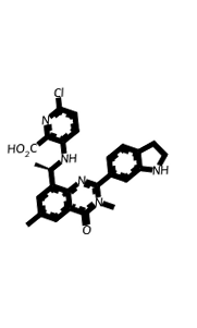 Cc1cc([C@@H](C)Nc2ccc(Cl)nc2C(=O)O)c2nc(-c3ccc4c(c3)NCC4)n(C)c(=O)c2c1